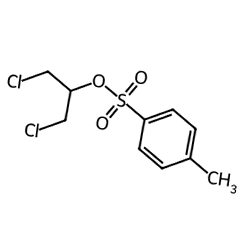 Cc1ccc(S(=O)(=O)OC(CCl)CCl)cc1